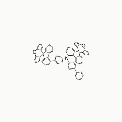 c1ccc(-c2ccc(N(c3ccc(-c4cccc5c4-c4ccccc4C54c5ccccc5Oc5ccccc54)cc3)c3cccc4c3-c3ccccc3C43c4ccccc4Oc4ccccc43)cc2)cc1